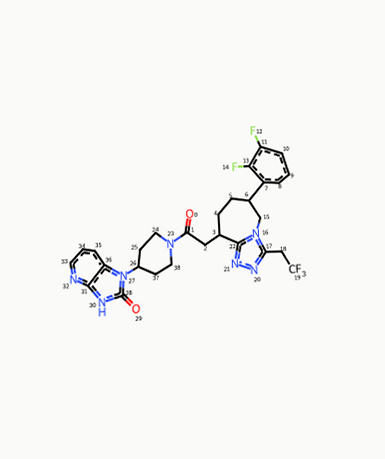 O=C(CC1CCC(c2cccc(F)c2F)Cn2c(CC(F)(F)F)nnc21)N1CCC(n2c(=O)[nH]c3ncccc32)CC1